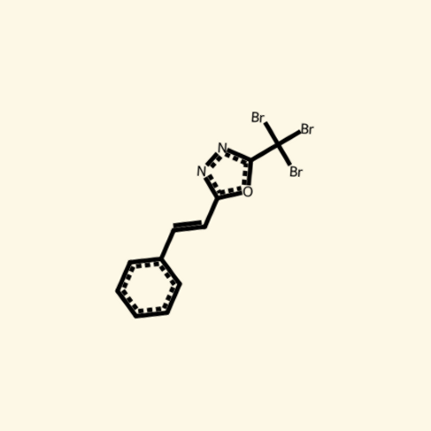 BrC(Br)(Br)c1nnc(C=Cc2ccccc2)o1